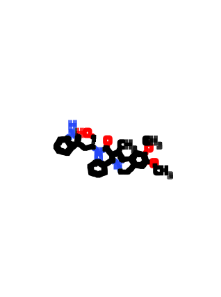 COc1cc2c(cc1OC)-c1c(C)c(C(=O)N[C@@H](CO)Cc3c[nH]c4ccccc34)c(-c3ccccc3)n1CC2